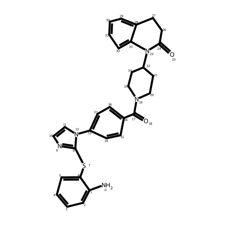 Nc1ccccc1Sc1nccn1-c1ccc(C(=O)N2CCC(N3C(=O)CCc4ccccc43)CC2)cc1